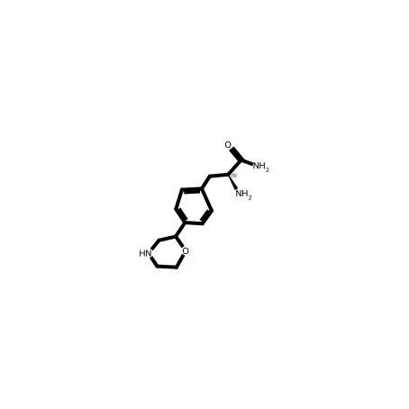 NC(=O)[C@@H](N)Cc1ccc(C2CNCCO2)cc1